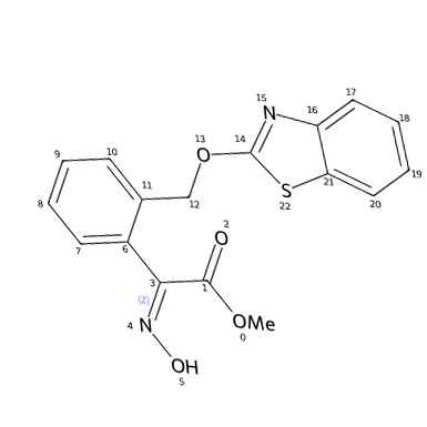 COC(=O)/C(=N\O)c1ccccc1COc1nc2ccccc2s1